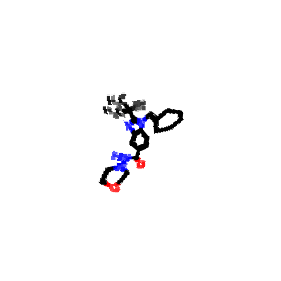 CCC(C)(C)c1nc2cc(C(=O)NN3CCOCC3)ccc2n1CC1CCCCC1